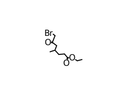 CCOC(=O)CCC(C)CC(=O)CBr